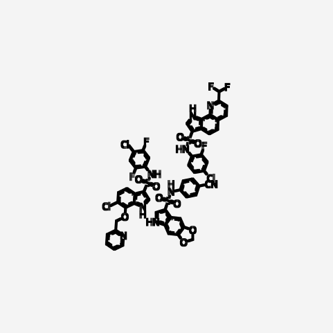 N#Cc1ccc(NS(=O)(=O)c2c[nH]c3cc4c(cc23)OCO4)cc1.O=S(=O)(Nc1cc(F)c(Cl)cc1F)c1c[nH]c2c(OCc3ccccn3)c(Cl)ccc12.O=S(=O)(Nc1ccc(Cl)cc1F)c1c[nH]c2c1ccc1ccc(C(F)F)nc12